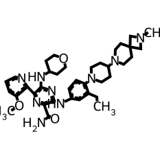 CCc1cc(Nc2nc(NC3CCOCC3)c(-c3ncccc3OC)nc2C(N)=O)ccc1N1CCC(N2CCC3(CC2)CN(C)C3)CC1